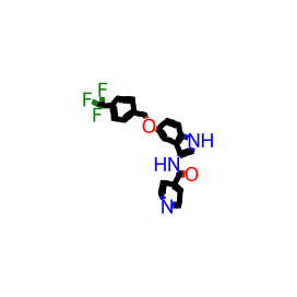 O=C(Nc1c[nH]c2ccc(OCc3ccc(C(F)(F)F)cc3)cc12)c1ccncc1